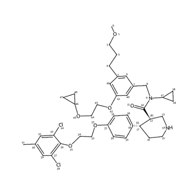 COCCCc1cc(CN(C(=O)[C@H]2CNCC[C@@H]2c2ccc(OCCOc3c(Cl)cc(C)cc3Cl)cc2)C2CC2)cc(OCCOC2CC2)c1